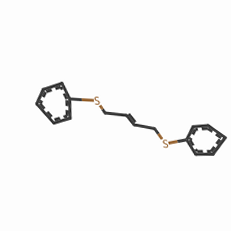 C(=C\CSc1ccccc1)/CSc1ccccc1